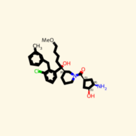 COCCCCC(O)(c1cccc(Cl)c1Cc1cccc(C)c1)[C@@H]1CCCN(C(=O)[C@H]2C[C@@H](N)[C@@H](O)C2)C1